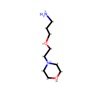 NCCCOCCN1CCOCC1